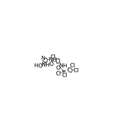 O=C(Nc1cncc(NO)c1)c1cc(NC(=O)C2[C@H](c3ccc(Cl)c(Cl)c3)C2(Cl)Cl)ccc1Cl